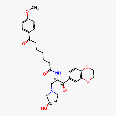 COc1ccc(C(=O)CCCCCC(=O)N[C@H](CN2CC[C@@H](O)C2)[C@H](O)c2ccc3c(c2)OCCO3)cc1